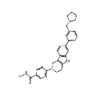 O=C(NO)c1cnc(N2CCc3[nH]c4cc(-c5cccc(CN6CCCC6)c5)ccc4c3C2)nc1